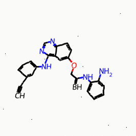 B=C(COc1ccc2ncnc(Nc3cccc(C#C)c3)c2c1)Nc1ccccc1N